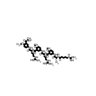 CNC(=O)c1cc(NC(=O)[C@H](CCCNC(=N)N)NC(=O)c2cc(NC(=O)[C@H](CCCNC(=N)N)NC(=O)c3cc(NC(=O)[C@H](C)NC(=O)CCCCNC(=N)N)ccc3OC)ccc2OC)ccc1OC